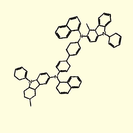 CC1CCC2C(C1)C1C=C(N(C3=CCC(C4C=CC(N(C5=CC=C6C(c7ccccc7N6C6C=CC=CC6)C5C)c5cccc6ccccc56)CC4)C=C3)C3CC=Cc4ccccc43)C=CC1N2C1=CC=CCC1